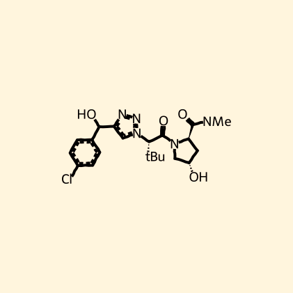 CNC(=O)[C@H]1C[C@H](O)CN1C(=O)[C@@H](n1cc(C(O)c2ccc(Cl)cc2)nn1)C(C)(C)C